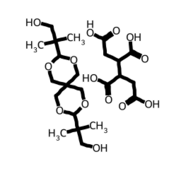 CC(C)(CO)C1OCC2(CO1)COC(C(C)(C)CO)OC2.O=C(O)CC(C(=O)O)C(CC(=O)O)C(=O)O